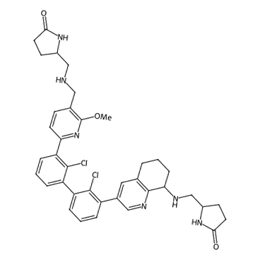 COc1nc(-c2cccc(-c3cccc(-c4cnc5c(c4)CCCC5NCC4CCC(=O)N4)c3Cl)c2Cl)ccc1CNCC1CCC(=O)N1